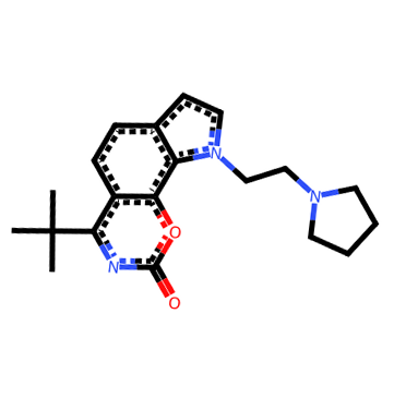 CC(C)(C)c1nc(=O)oc2c1ccc1ccn(CCN3CCCC3)c12